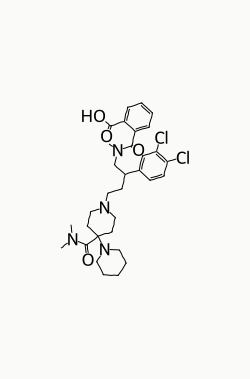 CN(C)C(=O)C1(N2CCCCC2)CCN(CCC(CN(C)C(=O)c2ccccc2C(=O)O)c2ccc(Cl)c(Cl)c2)CC1